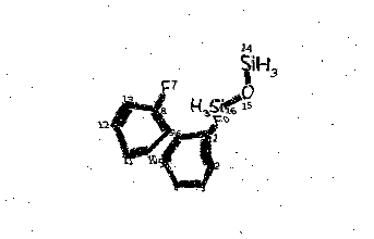 Fc1ccccc1.Fc1ccccc1.[SiH3]O[SiH3]